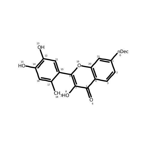 CCCCCCCCCCc1ccc2c(=O)c(O)c(-c3cc(O)c(O)cc3C)oc2c1